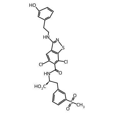 CS(=O)(=O)c1cccc(C[C@H](NC(=O)c2c(Cl)cc3c(NCCc4cccc(O)c4)nsc3c2Cl)C(=O)O)c1